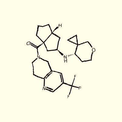 O=C(N1CCc2ncc(C(F)(F)F)cc2C1)[C@@]12CCC[C@@H]1C[C@@H](N[C@H]1CCOCC13CC3)C2